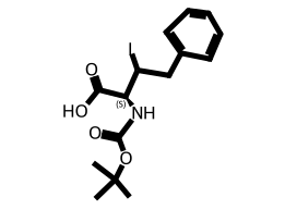 CC(C)(C)OC(=O)N[C@@H](C(=O)O)C(I)Cc1ccccc1